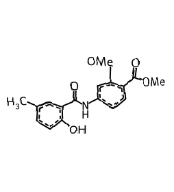 COC(=O)c1ccc(NC(=O)c2cc(C)ccc2O)cc1OC